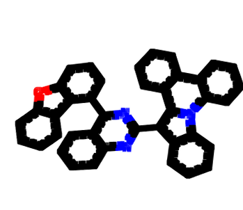 c1ccc2c(-c3cccc4oc5ccccc5c34)nc(-c3c4ccccc4n4c5ccccc5c5ccccc5c34)nc2c1